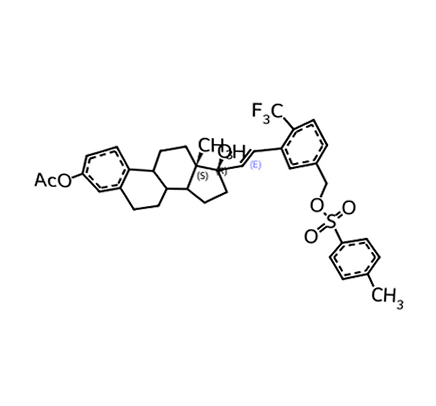 CC(=O)Oc1ccc2c(c1)CCC1C2CC[C@@]2(C)C1CC[C@@]2(O)/C=C/c1cc(COS(=O)(=O)c2ccc(C)cc2)ccc1C(F)(F)F